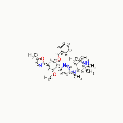 COc1cc(-c2ncc(C)o2)cc(OCc2ccccc2)c1-c1ccc(N(C)C2CC(C)(C)NC(C)(C)C2)nn1